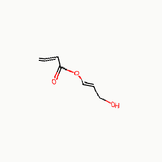 C=CC(=O)OC=CCO